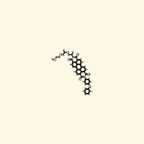 COCCOCC(C)OCC(C)N1C(=O)c2ccc3c4ccc5c6c(ccc(c7ccc(c2c37)C1=O)c64)C(=O)N(c1ccc(Oc2ccccc2)cc1)C5=O